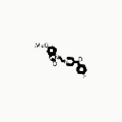 COc1ccc2c(c1)sc(=O)n2CCN1CCC(C(=O)c2ccc(F)cc2)CC1